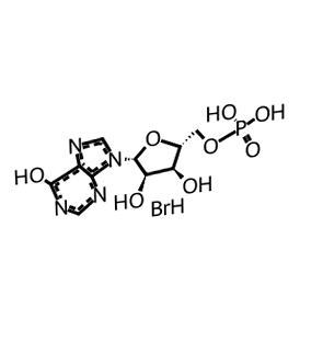 Br.O=P(O)(O)OC[C@H]1O[C@@H](n2cnc3c(O)ncnc32)[C@H](O)[C@@H]1O